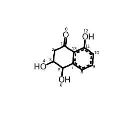 O=C1CC(O)C(O)c2cccc(O)c21